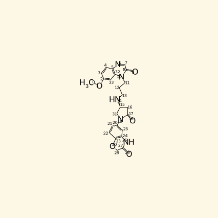 COc1ccc2ncc(=O)n(CCCN[C@H]3CC(=O)N(c4ccc5c(c4)NC(=O)CO5)C3)c2c1